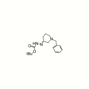 CC(C)(C)OC(=O)NN=C1CCCN(Cc2ccccc2)C1